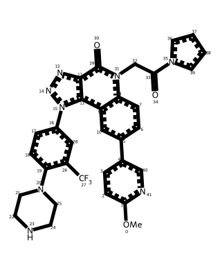 COc1ccc(-c2ccc3c(c2)c2c(nnn2-c2ccc(N4CCNCC4)c(C(F)(F)F)c2)c(=O)n3CC(=O)n2cccc2)cn1